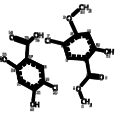 COC(=O)c1cc(Cl)c(OC)cc1O.O=C(O)c1cc(Cl)c(O)cc1O